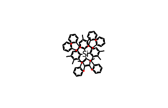 CC1=C(C)C(C)C([Si](c2c(Cc3ccccc3)cc(C)c(C)c2Cc2ccccc2)(c2c(Cc3ccccc3)cc(C)c(C)c2Cc2ccccc2)c2c(Cc3ccccc3)cc(C)c(C)c2Cc2ccccc2)=C1C